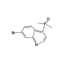 CP(C)(=O)c1ccnc2cc(Br)ccc12